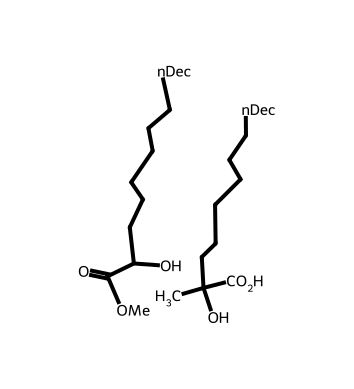 CCCCCCCCCCCCCCCCC(C)(O)C(=O)O.CCCCCCCCCCCCCCCCC(O)C(=O)OC